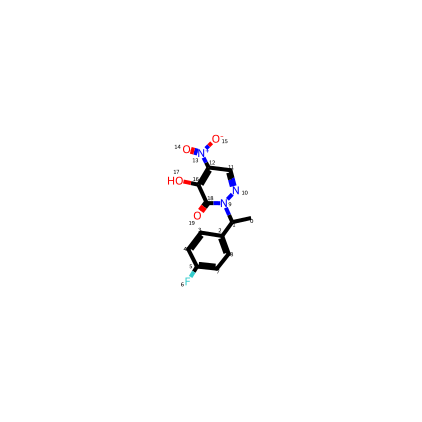 CC(c1ccc(F)cc1)n1ncc([N+](=O)[O-])c(O)c1=O